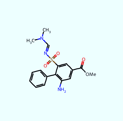 COC(=O)c1cc(N)c(-c2ccccc2)c(S(=O)(=O)N=CN(C)C)c1